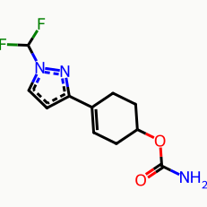 NC(=O)OC1CC=C(c2ccn(C(F)F)n2)CC1